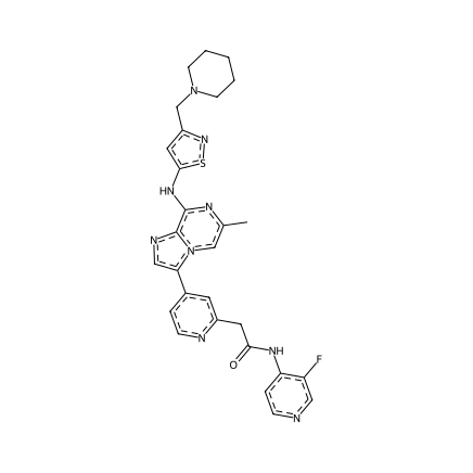 Cc1cn2c(-c3ccnc(CC(=O)Nc4ccncc4F)c3)cnc2c(Nc2cc(CN3CCCCC3)ns2)n1